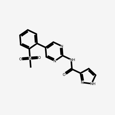 CS(=O)(=O)c1ccccc1-c1cnc(NC(=O)c2cc[nH]n2)nc1